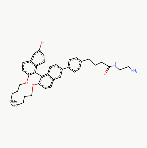 COCCCOc1ccc2cc(Br)ccc2c1-c1c(OCCCOC)ccc2cc(-c3ccc(CCCC(=O)NCCN)cc3)ccc12